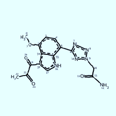 COc1ccc(-c2nnn(CC(N)=O)n2)c2[nH]cc(C(=O)C(C)=O)c12